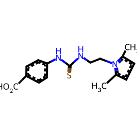 Cc1ccc(C)n1CCNC(=S)Nc1ccc(C(=O)O)cc1